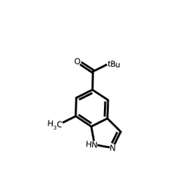 Cc1cc(C(=O)C(C)(C)C)cc2cn[nH]c12